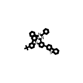 CC(C)(C)c1ccc2c(c1)c1ccccc1n2-c1ccc(-c2ccc3c(c2)sc2ccccc23)cc1-c1nc(-c2ccccc2)nc(-c2ccccc2)n1